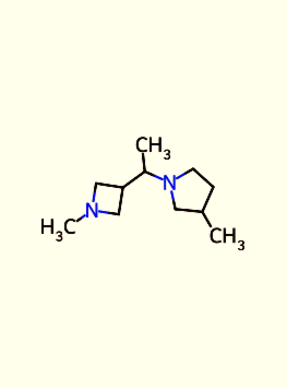 CC1CCN(C(C)C2CN(C)C2)C1